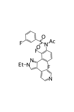 CCn1cc(-c2ccncc2)c(-c2c(F)ccc(N(C(C)=O)S(=O)(=O)c3cccc(F)c3)c2F)n1